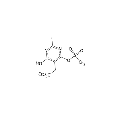 CCOC(=O)Cc1c(O)nc(C)nc1OS(=O)(=O)C(F)(F)F